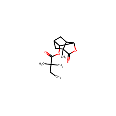 CCC(C)(C)C(=O)OC1C2CC3C1OC(=O)C3(C)C2